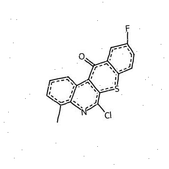 Cc1cccc2c1nc(Cl)c1sc3ccc(F)cc3c(=O)c12